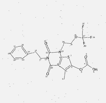 Cc1c(OC(=O)O)sc2c1c(=O)n(CCc1ccccc1)c(=O)n2CCOC(F)(F)F